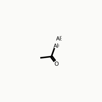 C[C](=O)[Al].[Al]